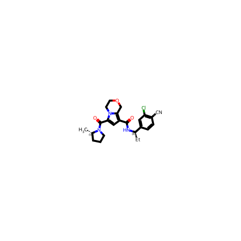 CC[C@@H](NC(=O)c1cc(C(=O)N2CCC[C@@H]2C)n2c1COCC2)c1ccc(C#N)c(Cl)c1